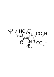 CCn1c(C(=O)O)c(C(=O)O)c(C(=O)O)c1C(=O)OCCC(C)C